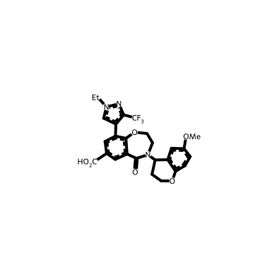 CCn1cc(-c2cc(C(=O)O)cc3c2OCCN(C2CCOc4ccc(OC)cc42)C3=O)c(C(F)(F)F)n1